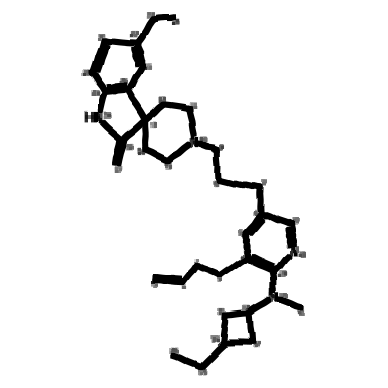 C=CCCc1cc(CCCN2CCC3(CC2)C(=C)Nc2ccc(CC)cc23)cnc1N(C)C1CC(CC)C1